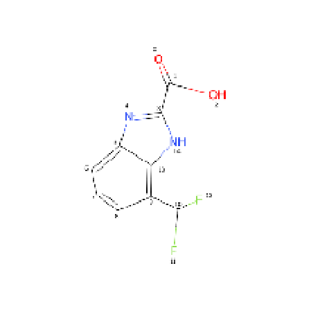 O=C(O)c1nc2cccc(C(F)F)c2[nH]1